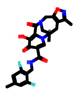 Cc1cc(F)c(CNC(=O)c2cn3c(c(O)c2=O)C(=O)N2Cc4onc(C)c4C[C@H]3C2)c(F)c1